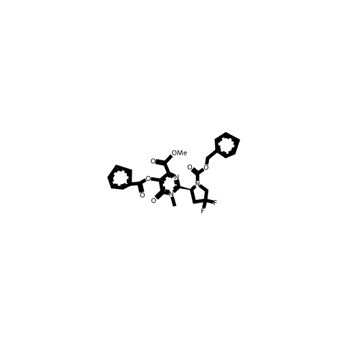 COC(=O)c1nc([C@@H]2CC(F)(F)CN2C(=O)OCc2ccccc2)n(C)c(=O)c1OC(=O)c1ccccc1